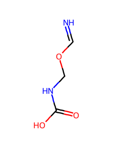 N=COCNC(=O)O